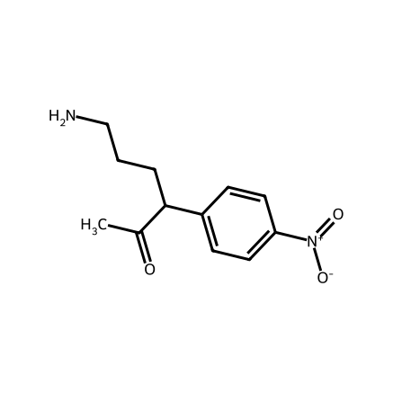 CC(=O)C(CCCN)c1ccc([N+](=O)[O-])cc1